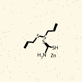 C=CCSSCC=C.NC(=S)S.[Zn]